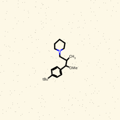 COC(c1ccc(C(C)(C)C)cc1)C(C)CN1CCCCC1